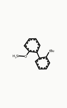 CC(C)(C)c1ccccc1-c1ccccc1O[SiH3]